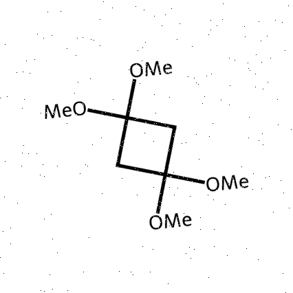 COC1(OC)CC(OC)(OC)C1